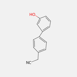 N#CCc1ccc(-c2cccc(O)c2)cc1